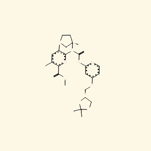 COC(=O)c1nc2c(cc1C)N1CC[C@@H](C1)N2C(=O)Nc1cc(OC[C@H]2COC(C)(C)O2)ccn1